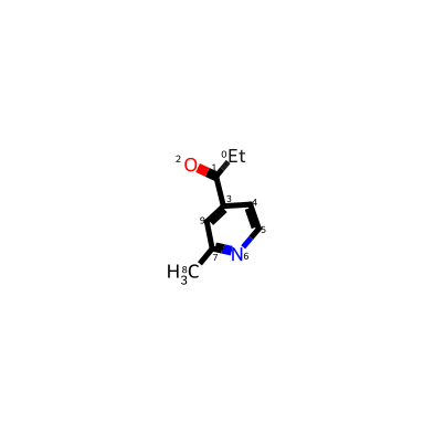 CCC(=O)c1ccnc(C)c1